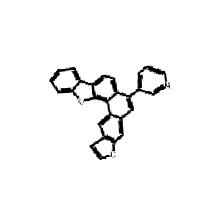 c1cncc(-c2cc3cc4occc4cc3c3c2ccc2c4ccccc4oc23)c1